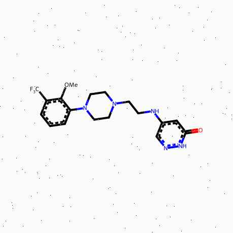 COc1c(N2CCN(CCNc3cn[nH]c(=O)c3)CC2)cccc1C(F)(F)F